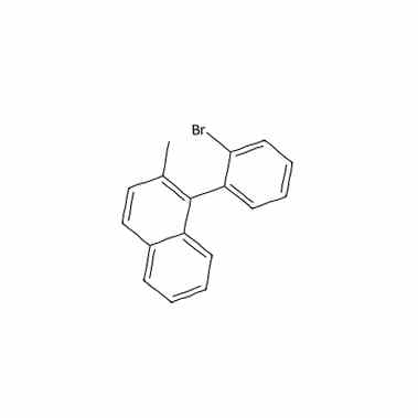 Cc1ccc2ccccc2c1-c1ccccc1Br